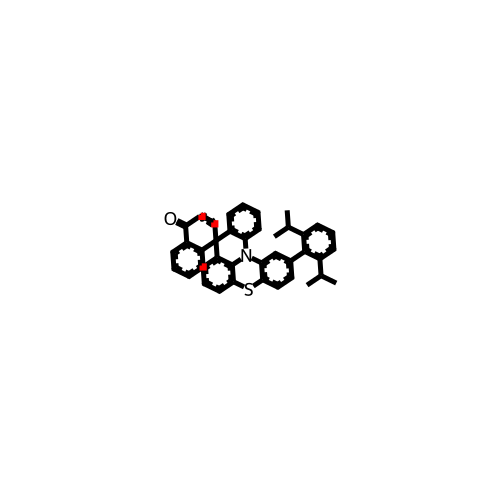 CC(C)c1cccc(C(C)C)c1-c1ccc2c(c1)N1c3ccccc3C3(c4ccccc4C(=O)c4ccccc43)c3cccc(c31)S2